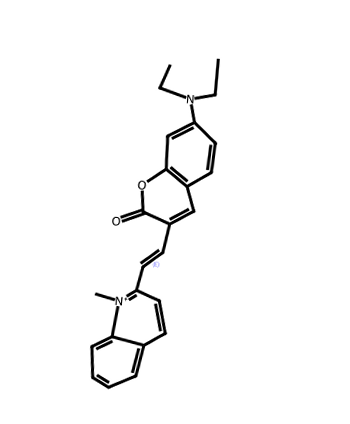 CCN(CC)c1ccc2cc(/C=C/c3ccc4ccccc4[n+]3C)c(=O)oc2c1